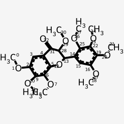 COc1cc2c(c(OC)c1OC)OC(c1cc(OC)c(OC)c(OC)c1OC)C(OC)C2=O